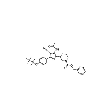 CC(=O)Nc1c(C#N)c(-c2ccc(O[Si](C)(C)C(C)(C)C)cc2)nn1C1CCCN(C(=O)OCc2ccccc2)C1